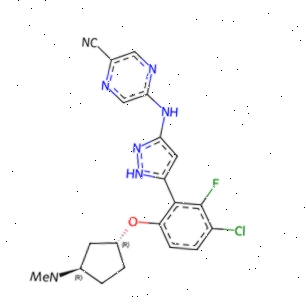 CN[C@@H]1CC[C@@H](Oc2ccc(Cl)c(F)c2-c2cc(Nc3cnc(C#N)cn3)n[nH]2)C1